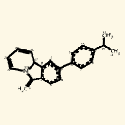 C=C1c2ccc(-c3ccc(C(C)C)cc3)cc2C2C=CC=CN12